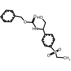 CCS(=O)(=O)c1ccc(C(CO)NC(=O)OCc2ccccc2)cc1